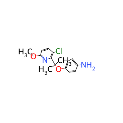 COc1ccc(Cl)c(C(C)(C)Oc2ccc(N)cc2)n1